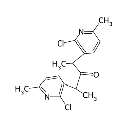 Cc1ccc(C(C)C(=O)C(C)c2ccc(C)nc2Cl)c(Cl)n1